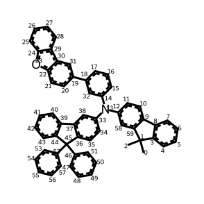 CC1(C)c2ccccc2-c2ccc(N(c3cccc(-c4ccc5oc6ccccc6c5c4)c3)c3ccc4c(c3)-c3ccccc3C4(c3ccccc3)c3ccccc3)cc21